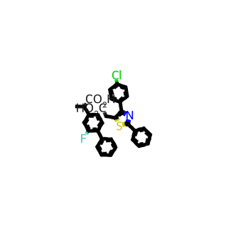 CC(C(=O)O)c1ccc(-c2ccccc2)c(F)c1.O=C(O)Cc1sc(-c2ccccc2)nc1-c1ccc(Cl)cc1